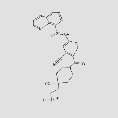 CC(F)(F)CCC1(O)CCN(C(=O)c2ccc(N[S+]([O-])c3cccc4nccnc34)cc2C#N)CC1